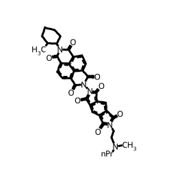 CCCN(C)CCn1c(=O)c2cc3c(=O)n(N4C(=O)c5ccc6c7c(ccc(c57)C4=O)C(=O)N(C4CCCCC4C)C6=O)c(=O)c3cc2c1=O